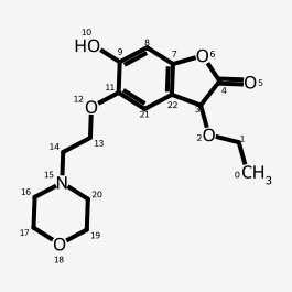 CCOC1C(=O)Oc2cc(O)c(OCCN3CCOCC3)cc21